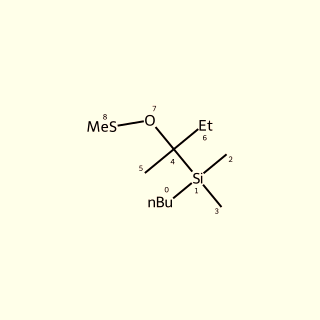 CCCC[Si](C)(C)C(C)(CC)OSC